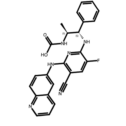 C[C@H](NC(=O)O)[C@@H](Nc1nc(Nc2ccc3ncccc3c2)c(C#N)cc1F)c1ccccc1